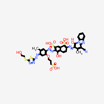 Cc1cc(N=Nc2c(S(=O)(=O)O)cc3c(S(=O)(=O)O)c(N=Nc4c(C)c(C#N)c5nc6ccccc6n5c4O)ccc3c2O)c(OCCCS(=O)(=O)O)cc1N=Nc1nnc(SCCO)s1